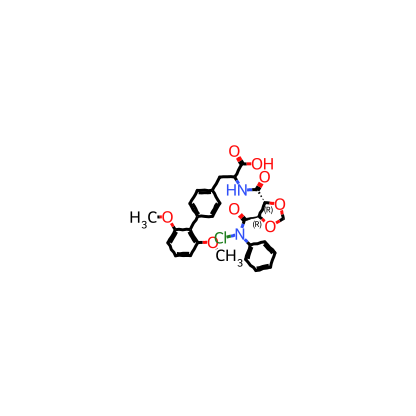 COc1cccc(OC)c1-c1ccc(CC(NC(=O)[C@@H]2OCO[C@H]2C(=O)N(Cl)c2ccccc2)C(=O)O)cc1